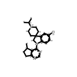 CC1CCc2ncnc(N3CC4(CCN(C(C)C)CC4)c4cc(Cl)ccc43)c21